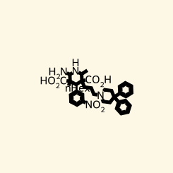 CCCCCCC1(C(=O)O)C(N)NC(C)C(CCCN2CCC(c3ccccc3)(c3ccccc3)CC2)(C(=O)O)[C@H]1c1cccc([N+](=O)[O-])c1